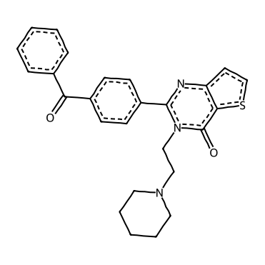 O=C(c1ccccc1)c1ccc(-c2nc3ccsc3c(=O)n2CCN2CCCCC2)cc1